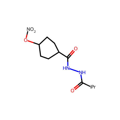 CC(C)C(=O)NNC(=O)C1CCC(O[N+](=O)[O-])CC1